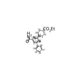 CCOC(=O)C1CCN(c2nc(C(N)=O)cc(-c3ccccc3)n2)CC1